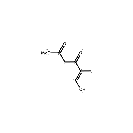 COC(=O)CC(=O)C(C)=CO